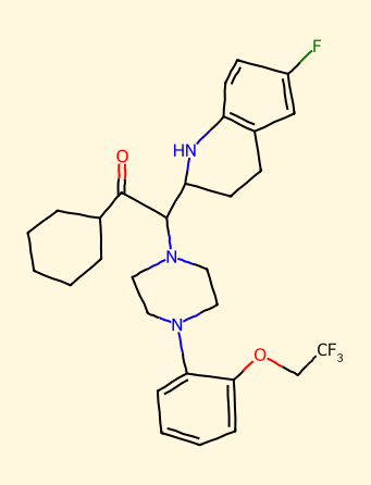 O=C(C1CCCCC1)C(C1CCc2cc(F)ccc2N1)N1CCN(c2ccccc2OCC(F)(F)F)CC1